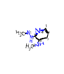 C=NNc1ncccc1NC